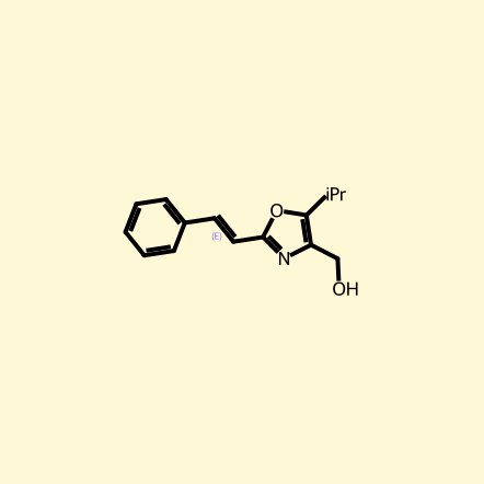 CC(C)c1oc(/C=C/c2ccccc2)nc1CO